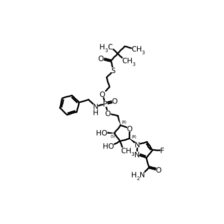 CCC(C)(C)C(=O)SCCOP(=O)(NCc1ccccc1)OC[C@H]1O[C@@H](n2cc(F)c(C(N)=O)n2)C(C)(O)[C@H]1O